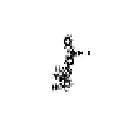 CC(C)C[C@H](NC(=O)c1ccc(N(C=O)OCc2ccccc2)cc1)C(=O)N[C@H]1CCOC1O